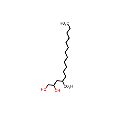 O=C(O)CCCCCCCCCCCC(CC(O)CO)C(=O)O